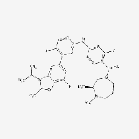 Cc1nc2c(F)cc(-c3nc(Nc4ccc(C(=O)N5CCCN(C)[C@@H](C)C5)c(F)n4)ncc3F)cc2n1C(C)C